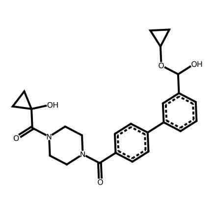 O=C(c1ccc(-c2cccc(C(O)OC3CC3)c2)cc1)N1CCN(C(=O)C2(O)CC2)CC1